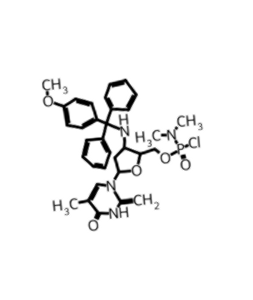 C=C1NC(=O)C(C)=CN1C1CC(NC(c2ccccc2)(c2ccccc2)c2ccc(OC)cc2)C(COP(=O)(Cl)N(C)C)O1